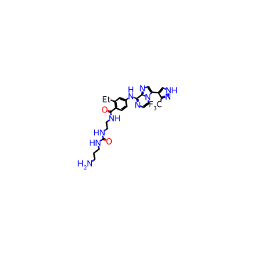 CCc1cc(Nc2nccn3c(-c4c[nH]nc4C(F)(F)F)cnc23)ccc1C(=O)NCCNC(=O)NCCCN